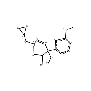 CCC1(c2cccc(OC)c2)C=CN(CC2CC2)CC1C